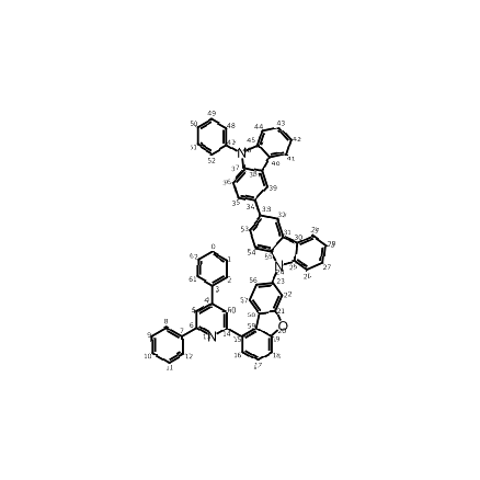 c1ccc(-c2cc(-c3ccccc3)nc(-c3cccc4oc5cc(-n6c7ccccc7c7cc(-c8ccc9c(c8)c8ccccc8n9-c8ccccc8)ccc76)ccc5c34)c2)cc1